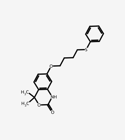 CC1(C)OC(=O)Nc2cc(OCCCCSc3ccccc3)ccc21